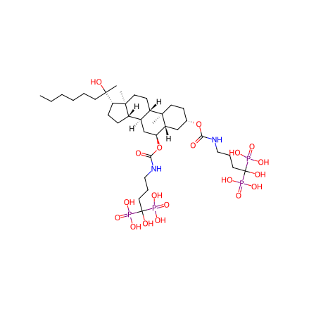 CCCCCCC(C)(O)[C@H]1CC[C@H]2[C@@H]3C[C@H](OC(=O)NCCCC(O)(P(=O)(O)O)P(=O)(O)O)[C@H]4C[C@@H](OC(=O)NCCCC(O)(P(=O)(O)O)P(=O)(O)O)CC[C@]4(C)[C@H]3CC[C@]12C